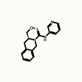 OC[C@@H]1Cc2ccccc2CN1C(=S)Nc1cccnc1